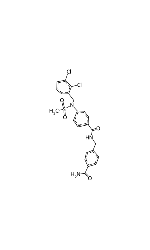 CS(=O)(=O)N(Cc1cccc(Cl)c1Cl)c1ccc(C(=O)NCc2ccc(C(N)=O)cc2)cc1